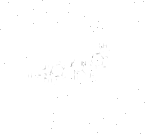 C=C(NC(=O)c1ccc(C(C)(C)C)cc1)Nc1cccc(N)c1